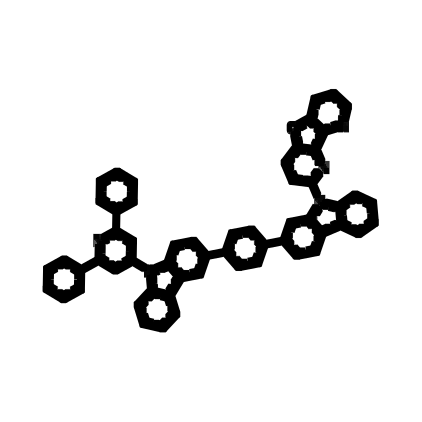 c1ccc(-c2cc(-n3c4ccccc4c4cc(-c5ccc(-c6ccc7c8ccccc8n(-c8ccc9oc%10cccnc%10c9n8)c7c6)cc5)ccc43)cc(-c3ccccc3)n2)cc1